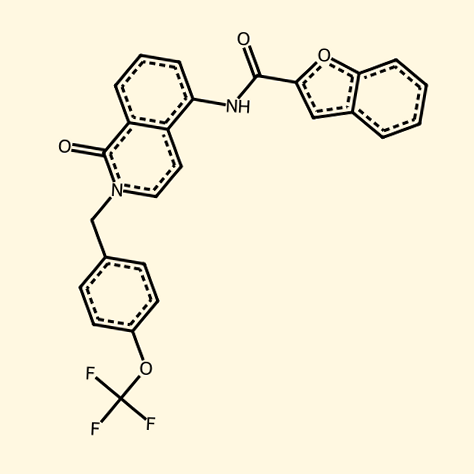 O=C(Nc1cccc2c(=O)n(Cc3ccc(OC(F)(F)F)cc3)ccc12)c1cc2ccccc2o1